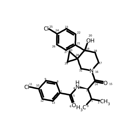 CC(C)[C@@H](NC(=O)c1ccc(Cl)cc1)C(=O)N1CCC(O)(c2ccc(Cl)cc2)C2(CC2)C1